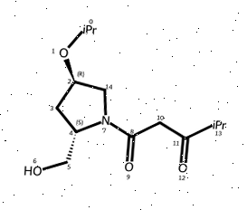 CC(C)O[C@@H]1C[C@@H](CO)N(C(=O)CC(=O)C(C)C)C1